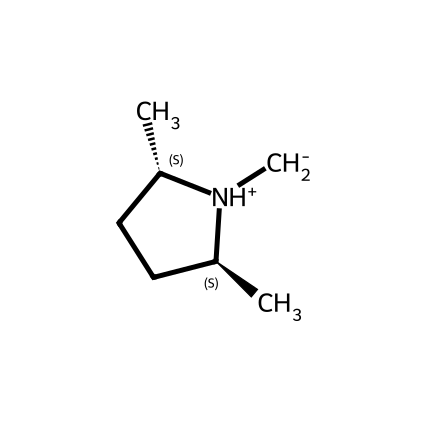 [CH2-][NH+]1[C@@H](C)CC[C@@H]1C